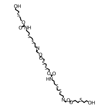 O=C(NCCSCSCC/N=C/OOCSCSCOC(=O)NCCSCSCC/N=C\OOCCSCCO)OCCSCCO